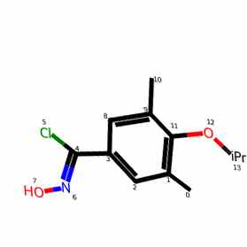 Cc1cc(/C(Cl)=N/O)cc(C)c1OC(C)C